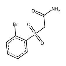 NC(=O)CS(=O)(=O)c1ccccc1Br